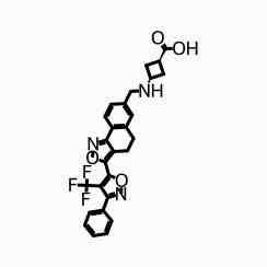 O=C(O)[C@H]1C[C@H](NCc2ccc3c(c2)CCc2c-3noc2-c2onc(-c3ccccc3)c2C(F)(F)F)C1